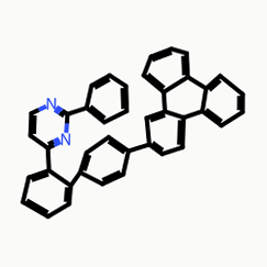 c1ccc(-c2nccc(-c3ccccc3-c3ccc(-c4ccc5c6ccccc6c6ccccc6c5c4)cc3)n2)cc1